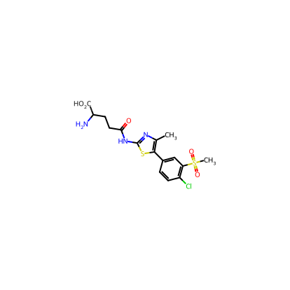 Cc1nc(NC(=O)CCC(N)C(=O)O)sc1-c1ccc(Cl)c(S(C)(=O)=O)c1